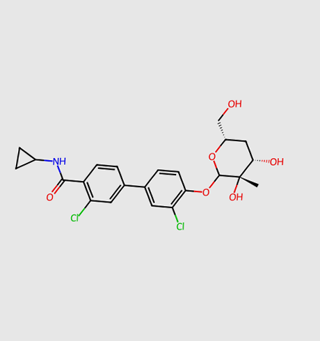 C[C@@]1(O)C(Oc2ccc(-c3ccc(C(=O)NC4CC4)c(Cl)c3)cc2Cl)O[C@H](CO)C[C@@H]1O